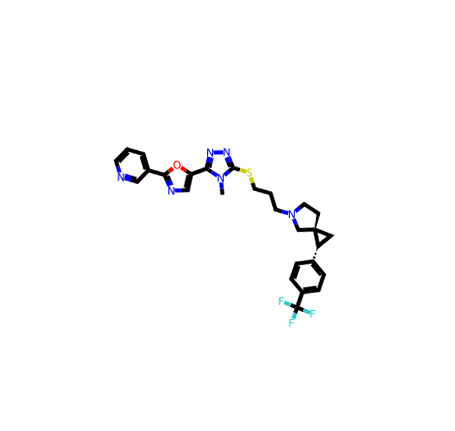 Cn1c(SCCCN2CC[C@]3(C[C@@H]3c3ccc(C(F)(F)F)cc3)C2)nnc1-c1cnc(-c2cccnc2)o1